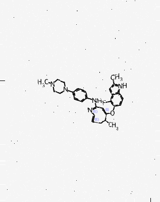 Cc1cc2c(F)c(O/C3=C/C(Nc4ccc(N5CCN(C)CC5)cc4)=N\C=C\CC3C)ccc2[nH]1